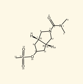 CN(C)C(=O)N1C[C@H]2CC(OS(C)(=O)=O)C[C@H]2C1